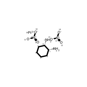 N[C@@H]1CCCC[C@@H]1N.O=[N+]([O-])[O-].O=[N+]([O-])[O-].[Pt+2]